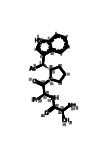 CC(=O)C(c1c[nH]c2ccccc12)[C@@H]1CCCN1C(=O)[C@@H](NC(=O)[C@H](C)N)C(C)C